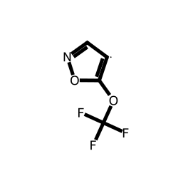 FC(F)(F)Oc1[c]cno1